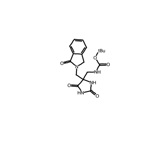 CC(C)(C)OC(=O)NCC1(CN2Cc3ccccc3C2=O)NC(=O)NC1=O